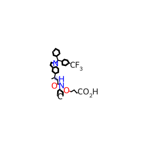 C/C(=C\C(=O)Nc1ccccc1OCCCC(=O)O)c1ccc2c(ccn2C(c2ccccc2)c2ccc(C(F)(F)F)cc2)c1